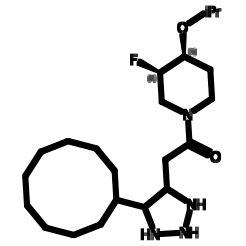 CC(C)O[C@H]1CCN(C(=O)CC2NNNC2C2CCCCCCCCC2)C[C@H]1F